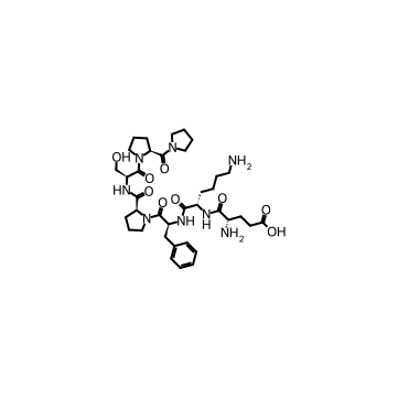 NCCCC[C@H](NC(=O)[C@@H](N)CCC(=O)O)C(=O)N[C@@H](Cc1ccccc1)C(=O)N1CCC[C@H]1C(=O)N[C@@H](CO)C(=O)N1CCC[C@H]1C(=O)N1CCCC1